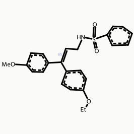 CCOc1ccc(/C(=C\CNS(=O)(=O)c2ccccc2)c2ccc(OC)cc2)cc1